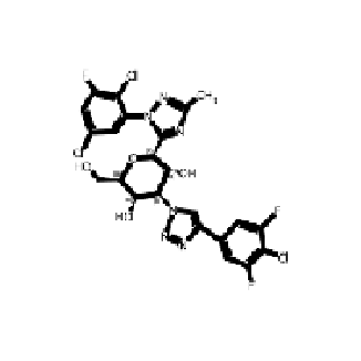 Cc1nc([C@@H]2O[C@H](CO)[C@H](O)[C@H](n3cc(-c4cc(F)c(Cl)c(F)c4)nn3)[C@H]2O)n(-c2cc(Cl)cc(F)c2Cl)n1